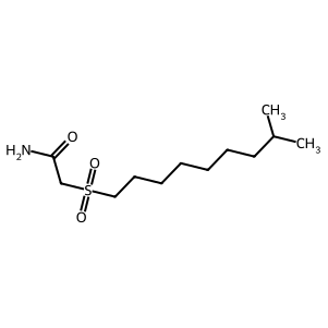 CC(C)CCCCCCCS(=O)(=O)CC(N)=O